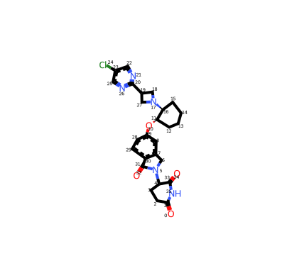 O=C1CCC(N2Cc3cc(O[C@H]4CCCC[C@@H]4N4CC(c5ncc(Cl)cn5)C4)ccc3C2=O)C(=O)N1